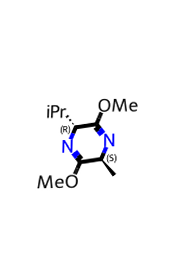 COC1=N[C@H](C(C)C)C(OC)=N[C@H]1C